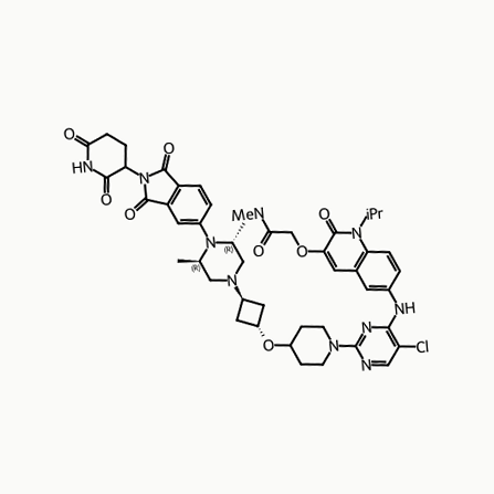 CNC(=O)COc1cc2cc(Nc3nc(N4CCC(O[C@H]5C[C@H](N6C[C@@H](C)N(c7ccc8c(c7)C(=O)N(C7CCC(=O)NC7=O)C8=O)[C@H](C)C6)C5)CC4)ncc3Cl)ccc2n(C(C)C)c1=O